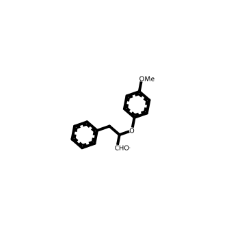 COc1ccc(OC([C]=O)Cc2ccccc2)cc1